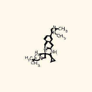 Cc1ncc(-c2ccc3cnc(NC(=C4CC4)C4(F)CN(CC(C)(C)C)C4)cc3c2)n1C